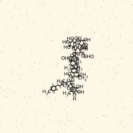 CC(=O)OC1C(OC(=O)/C=C/c2ccc(C)cc2)C(C)OC(OC(=O)[C@@H]2CC(C)(C)C[C@@H]3C2[C@H](O)C[C@]2(C)C3C=C[C@@H]3[C@@]4(C)CC[C@H](OC5OC(COC=O)C(O)C(OC6OCC(O)C(O)C6O)C5OC5OC(CO)C(O)C(O)C5O)[C@@](C)(C=O)[C@@H]4CC[C@]32C)C1OC1OC(C)C(O)C(O)C1O